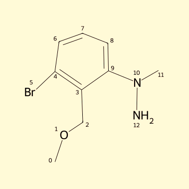 COCc1c(Br)cccc1N(C)N